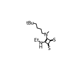 CCNc1c(N(C)CCCCC(C)(C)C)c(=S)c1=S